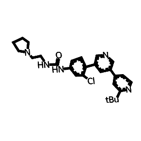 CC(C)(C)c1cc(-c2cncc(-c3ccc(NC(=O)NCCN4CCCC4)cc3Cl)c2)ccn1